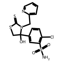 NS(=O)(=O)c1cc(C2(O)CSC(=S)N2Cc2ccccn2)ccc1Cl